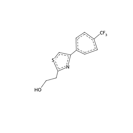 OCCc1nc(-c2ccc(C(F)(F)F)cc2)cs1